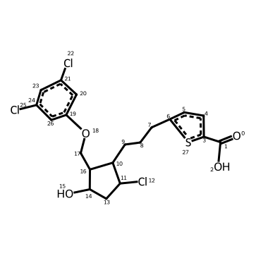 O=C(O)c1ccc(CCCC2C(Cl)CC(O)C2COc2cc(Cl)cc(Cl)c2)s1